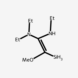 CCNC(=C([SiH3])OC)N(CC)CC